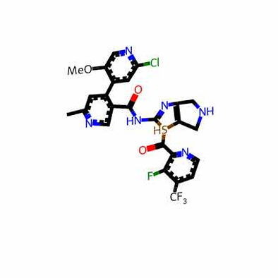 COc1cnc(Cl)cc1-c1cc(C)ncc1C(=O)NC1=NC2=C(CNC2)[SH]1C(=O)c1nccc(C(F)(F)F)c1F